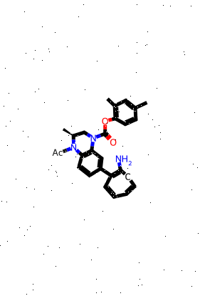 CC(=O)N1c2ccc(C3=C(N)CC=CC=C3)cc2N(C(=O)Oc2ccc(C)cc2C)C[C@@H]1C